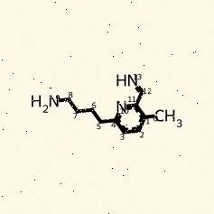 Cc1ccc(CCCCN)nc1C=N